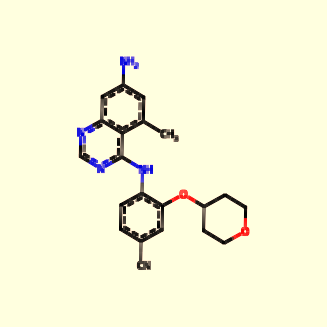 Cc1cc(N)cc2ncnc(Nc3ccc(C#N)cc3OC3CCOCC3)c12